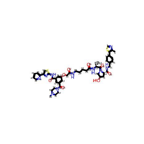 Cc1ncsc1-c1ccc(CNC(=O)[C@@H]2C[C@@H](O)CN2C(=O)[C@@H](NC(=O)CCCCNC(=O)COc2cc(C(=O)Nc3nc(-c4ccccn4)cs3)cc(C(=O)N3CCN(C)CC3)c2)C(C)(C)C)cc1